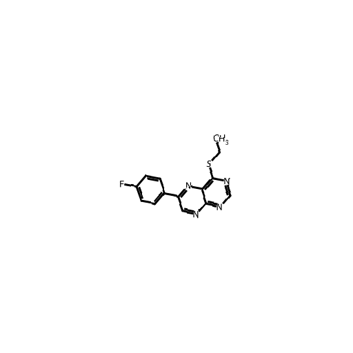 CCSc1ncnc2ncc(-c3ccc(F)cc3)nc12